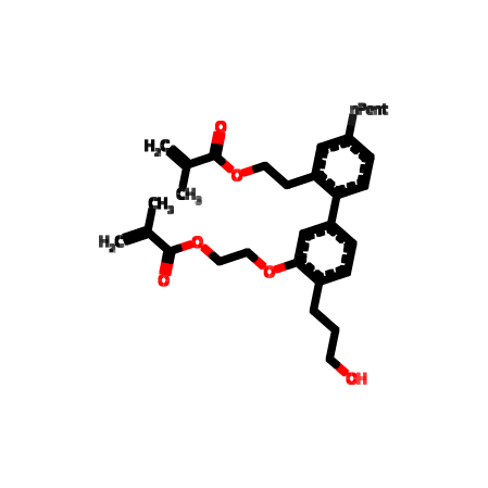 C=C(C)C(=O)OCCOc1cc(-c2ccc(CCCCC)cc2CCOC(=O)C(=C)C)ccc1CCCO